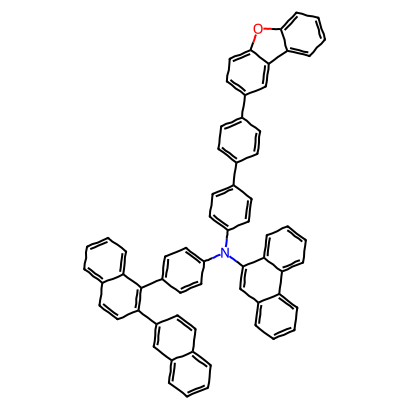 c1ccc2cc(-c3ccc4ccccc4c3-c3ccc(N(c4ccc(-c5ccc(-c6ccc7oc8ccccc8c7c6)cc5)cc4)c4cc5ccccc5c5ccccc45)cc3)ccc2c1